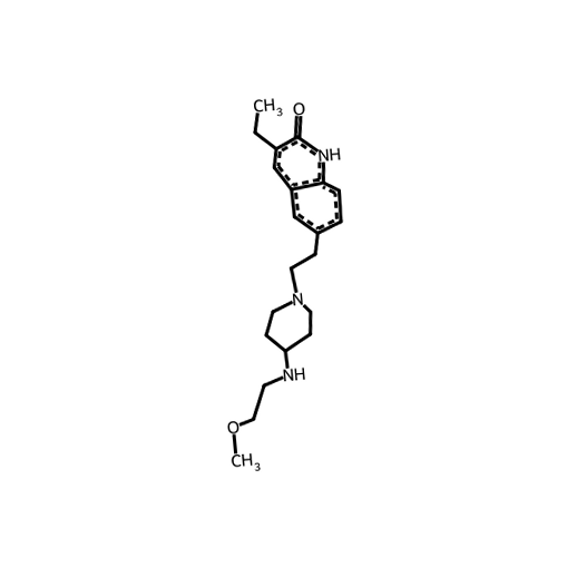 CCc1cc2cc(CCN3CCC(NCCOC)CC3)ccc2[nH]c1=O